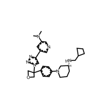 CN(C)c1cncc(-c2cn(C3(c4ccc(N5CCC[C@@H](NCC6CCC6)C5)cc4)COC3)nn2)c1